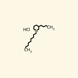 CCCCCCCCCN1CCCC(CCCC)C1.Cl